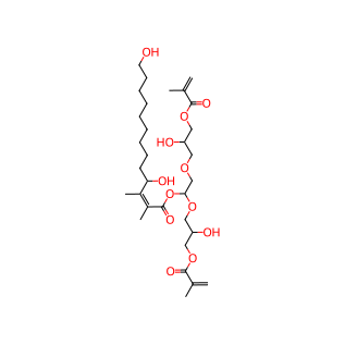 C=C(C)C(=O)OCC(O)COCC(OCC(O)COC(=O)C(=C)C)OC(=O)C(C)=C(C)C(O)CCCCCCCCCO